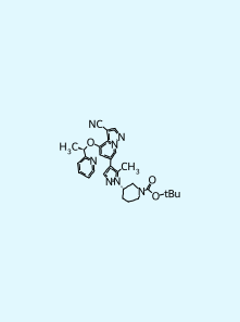 Cc1c(-c2cc(O[C@H](C)c3ccccn3)c3c(C#N)cnn3c2)cnn1[C@H]1CCCN(C(=O)OC(C)(C)C)C1